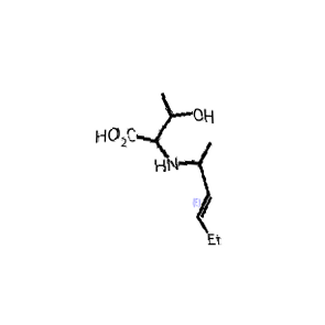 CC/C=C/C(C)NC(C(=O)O)C(C)O